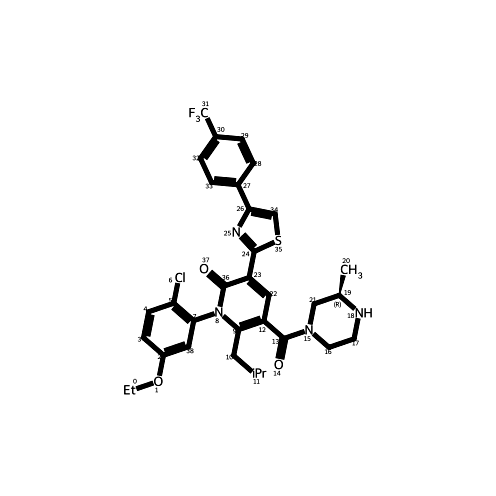 CCOc1ccc(Cl)c(-n2c(CC(C)C)c(C(=O)N3CCN[C@H](C)C3)cc(-c3nc(-c4ccc(C(F)(F)F)cc4)cs3)c2=O)c1